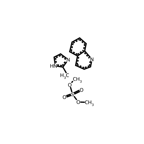 COS(=O)(=O)OC.Cc1ncc[nH]1.c1ccc2ncccc2c1